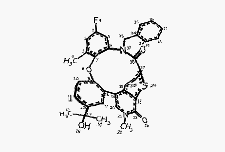 Cc1cc(F)cc2c1Oc1ccc(C(C)(C)O)cc1-c1cn(C)c(=O)c3sc(cc13)C(=O)N2Cc1ccccc1